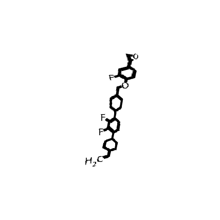 C=CC1CCC(c2ccc(C3CCC(COc4ccc(C5CO5)cc4F)CC3)c(F)c2F)CC1